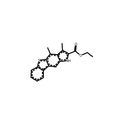 CCOC(=O)c1[nH]c2cc3c(sc4ccccc43)c(C)c2c1C